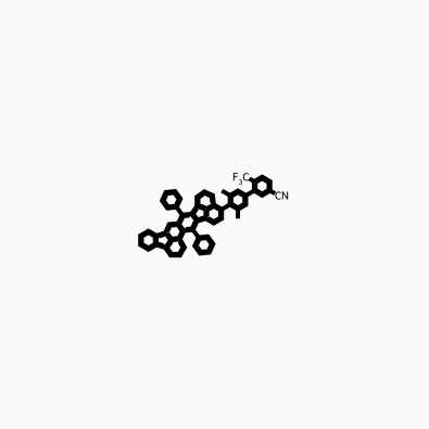 Cc1cc(-c2cc(C#N)ccc2C(F)(F)F)cc(C)c1-c1ccc2c3c(-c4ccccc4)c4c(cc5c6ccccc6c6cccc4c65)c(-c4ccccc4)c3c3cccc1c32